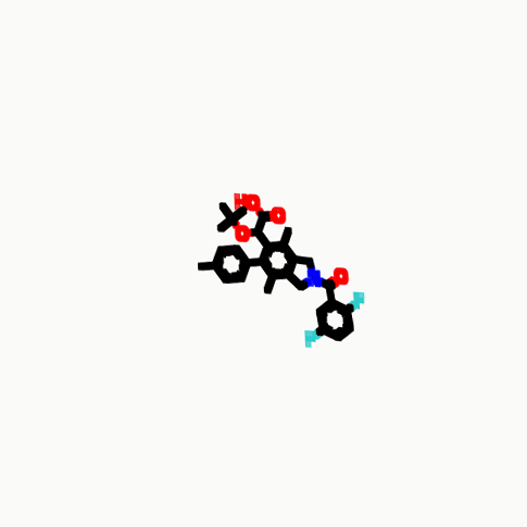 Cc1ccc(-c2c(C)c3c(c(C)c2C(OC(C)(C)C)C(=O)O)CN(C(=O)c2cc(F)ccc2F)C3)cc1